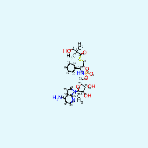 CC(C)(CO)C(=O)SCCOP(=O)(NCc1ccccc1)OC[C@H]1O[C@](C)(n2ccc3c(N)ccnc32)C(O)[C@H]1O